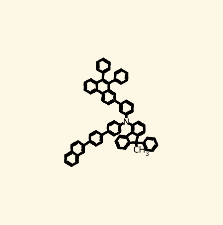 CC1(c2ccccc2)c2ccccc2-c2c(N(c3ccc(-c4ccc(-c5ccc6ccccc6c5)cc4)cc3)c3cccc(-c4ccc5c(c4)c(-c4ccccc4)c(-c4ccccc4)c4ccccc45)c3)cccc21